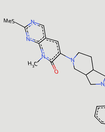 CSc1ncc2cc(N3CCC4CN(Cc5ccccc5)CC4C3)c(=O)n(C)c2n1